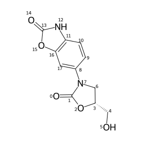 O=C1O[C@@H](CO)CN1c1ccc2[nH]c(=O)oc2c1